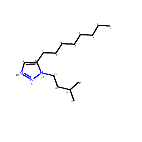 CCCCCCCCc1cnnn1CCC(C)C